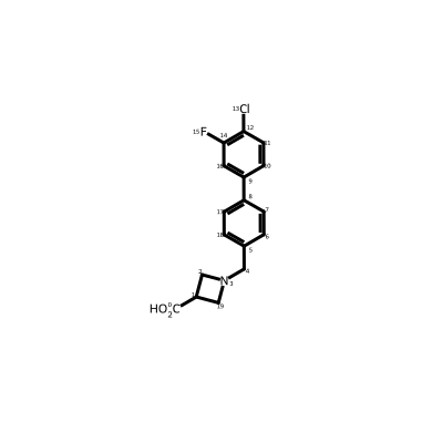 O=C(O)C1CN(Cc2ccc(-c3ccc(Cl)c(F)c3)cc2)C1